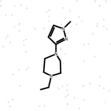 CCN1CCN(c2ccn(C)n2)CC1